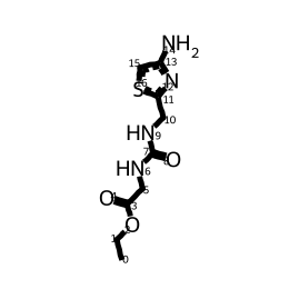 CCOC(=O)CNC(=O)NCc1nc(N)cs1